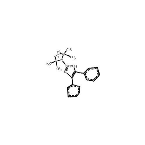 C[Si](C)(C)[N]([BiH]1=[N]C(c2ccccc2)=C(c2ccccc2)[NH]1)[Si](C)(C)C